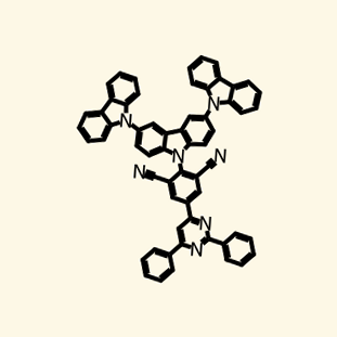 N#Cc1cc(-c2cc(-c3ccccc3)nc(-c3ccccc3)n2)cc(C#N)c1-n1c2ccc(-n3c4ccccc4c4ccccc43)cc2c2cc(-n3c4ccccc4c4ccccc43)ccc21